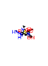 CCNC(=O)Nc1cc(-c2nc(C3CC3)cs2)c(-c2ccc3c(c2)c(=O)c(C(=O)OCC)cn3[C@H](CO)CC(C)C)cn1